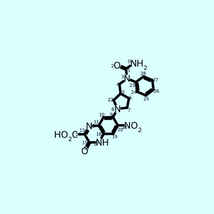 NC(=O)N(CC1CCN(c2cc3nc(C(=O)O)c(=O)[nH]c3cc2[N+](=O)[O-])C1)c1ccccc1